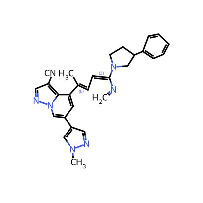 C=N/C(=C\C=C(/C)c1cc(-c2cnn(C)c2)cn2ncc(C#N)c12)N1CCC(c2ccccc2)C1